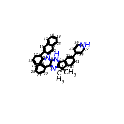 CC1(C)C2=C(NC(n3c4ccccc4c4cc5ccccc5cc43)C(c3ccccc3)=N2)c2cc(C3=CCNC=C3)ccc21